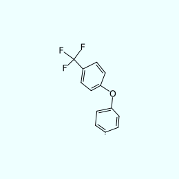 FC(F)(F)c1ccc(Oc2cc[c]cc2)cc1